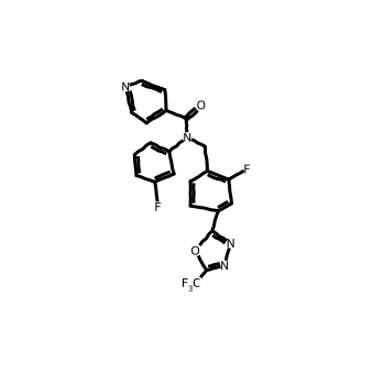 O=C(c1ccncc1)N(Cc1ccc(-c2nnc(C(F)(F)F)o2)cc1F)c1cccc(F)c1